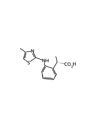 Cc1csc(Nc2ccccc2[C@H](C)C(=O)O)n1